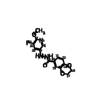 COc1ncc(NNC(=O)c2ccc3c(c2)OCCO3)cc1F